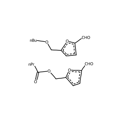 CCCC(=O)OCc1ccc(C=O)o1.CCCCOCc1ccc(C=O)o1